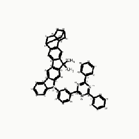 CC1(C)c2cc3c(cc2-c2cc4c5ccccc5n(-c5cccc(-c6nc(-c7ccccc7)nc(-c7ccccc7)n6)c5)c4cc21)C1CC2CC(C1)C3C2